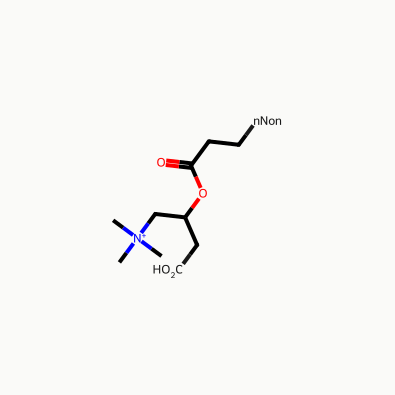 CCCCCCCCCCCC(=O)OC(CC(=O)O)C[N+](C)(C)C